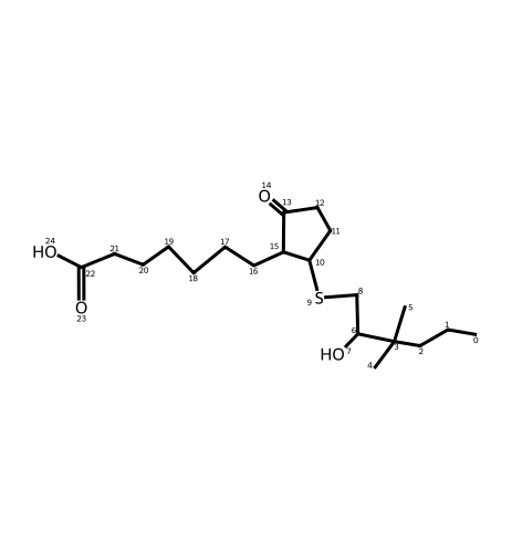 CCCC(C)(C)C(O)CSC1CCC(=O)C1CCCCCCC(=O)O